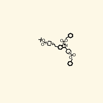 CC(C)(C)OC(=O)N1CCN(CCc2ccc3c(C4CCN(C(=O)OCc5ccccc5)CC4)nn(C(=O)OCc4ccccc4)c3c2)CC1